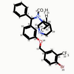 O=C(O)N(C(c1ccccc1)c1cccc(OCc2ccc(Br)c(C(F)(F)F)c2)c1)[C@H]1CN2CCC1CC2